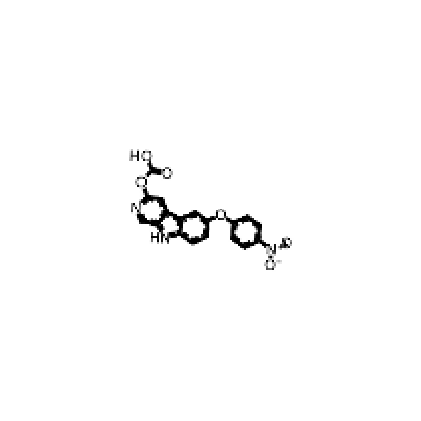 O=C(O)Oc1cc2c(cn1)[nH]c1ccc(Oc3ccc([N+](=O)[O-])cc3)cc12